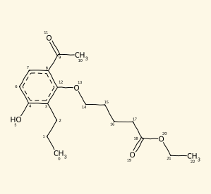 CCCc1c(O)ccc(C(C)=O)c1OCCCCC(=O)OCC